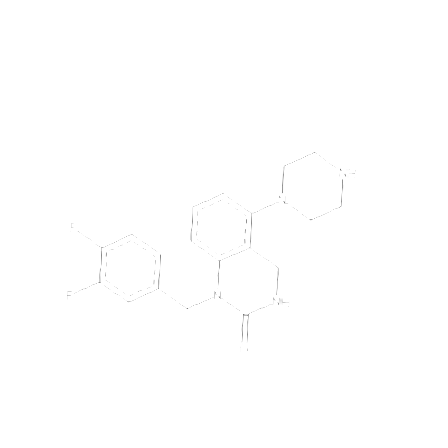 O=C1NCc2c(N3CCNCC3)cccc2N1Cc1ccc(F)c(F)c1